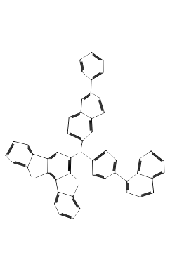 c1ccc(-c2ccc3cc(N(c4ccc(-c5cccc6ccccc56)cc4)c4cc5c6ccccc6oc5c5c4oc4ccccc45)ccc3c2)cc1